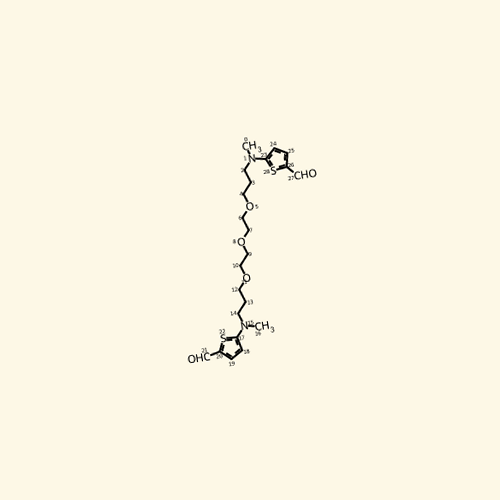 CN(CCCOCCOCCOCCCN(C)c1ccc(C=O)s1)c1ccc(C=O)s1